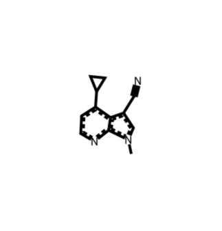 Cn1cc(C#N)c2c(C3CC3)ccnc21